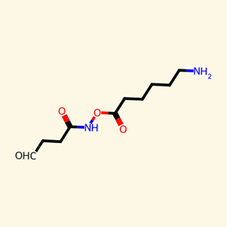 NCCCCCC(=O)ONC(=O)CCC=O